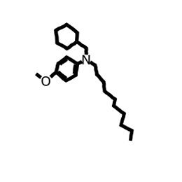 CCCCCCCCCCN(CC1CCCCC1)c1ccc(OC)cc1